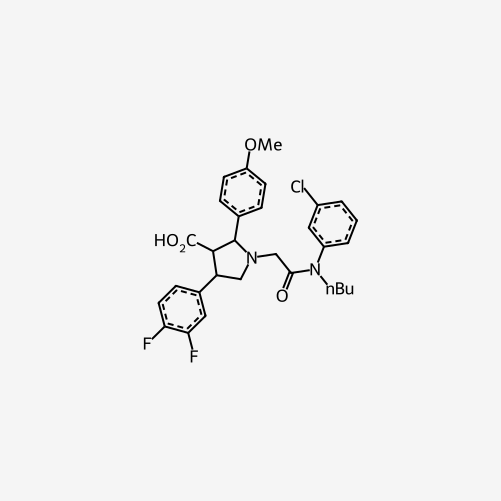 CCCCN(C(=O)CN1CC(c2ccc(F)c(F)c2)C(C(=O)O)C1c1ccc(OC)cc1)c1cccc(Cl)c1